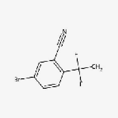 [CH2]C(F)(F)c1ccc(Br)cc1C#N